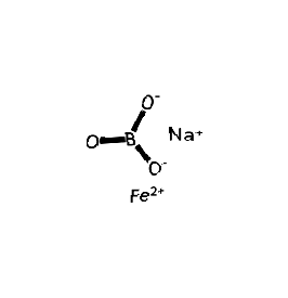 [Fe+2].[Na+].[O-]B([O-])[O-]